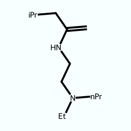 C=C(CC(C)C)NCCN(CC)CCC